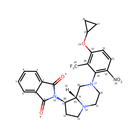 O=C1c2ccccc2C(=O)N1[C@@H]1CCN2CCN(c3c([N+](=O)[O-])ccc(OC4CC4)c3C(F)(F)F)C[C@@H]12